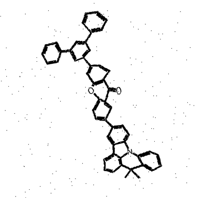 CC1(C)c2ccccc2-n2c3ccc(-c4ccc5oc6cc(-c7cc(-c8ccccc8)cc(-c8ccccc8)c7)ccc6c(=O)c5c4)cc3c3cccc1c32